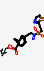 COC(=O)c1ccc(CNS(=O)(=O)Cc2nccs2)cc1